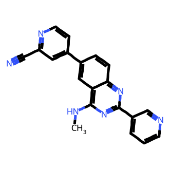 CNc1nc(-c2cccnc2)nc2ccc(-c3ccnc(C#N)c3)cc12